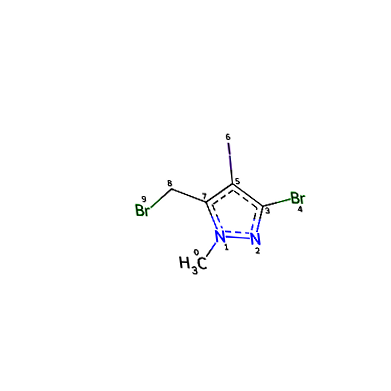 Cn1nc(Br)c(I)c1CBr